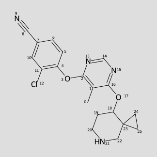 Cc1c(Oc2ccc(C#N)cc2Cl)ncnc1OC1CCNCC12CC2